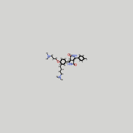 Cc1ccc(C2=C3C(=O)NC(c4ccc(OCCCN(C)C)c(CCCCN(C)C)c4)=C3C(=O)N2)cc1